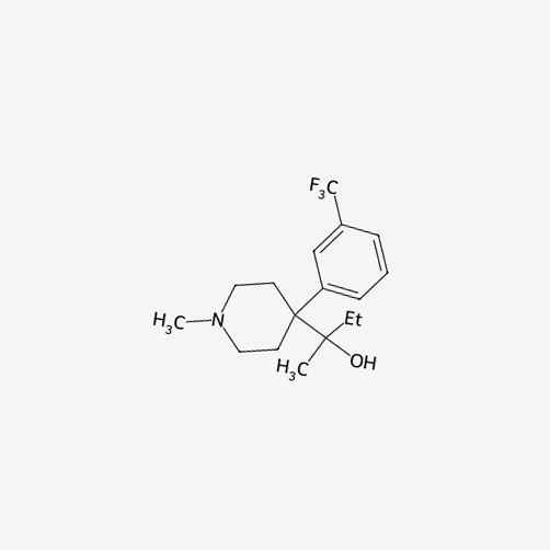 CCC(C)(O)C1(c2cccc(C(F)(F)F)c2)CCN(C)CC1